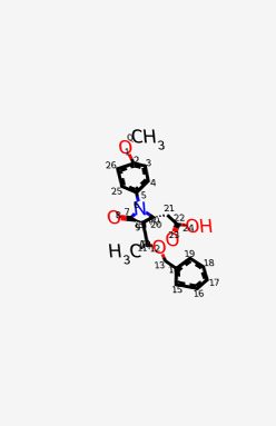 COc1ccc(N2C(=O)[C@H]([C@@H](C)OCc3ccccc3)[C@H]2CC(=O)O)cc1